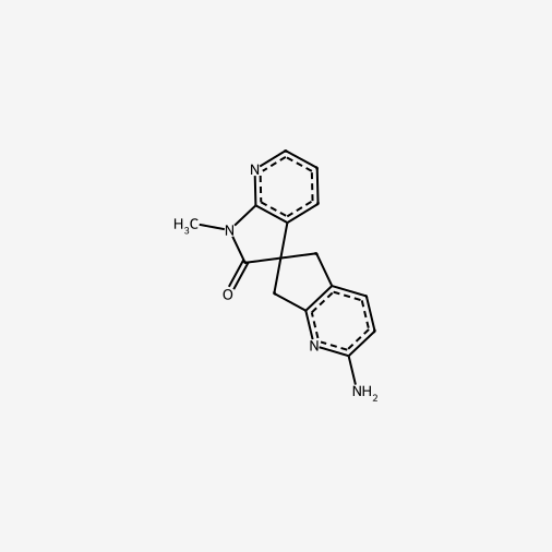 CN1C(=O)C2(Cc3ccc(N)nc3C2)c2cccnc21